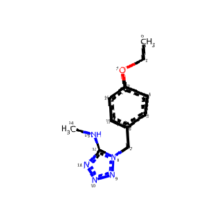 CCOc1ccc(Cn2nnnc2NC)cc1